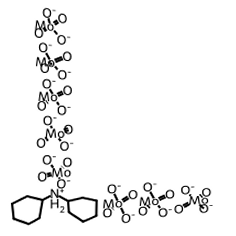 C1CCC([NH2+]C2CCCCC2)CC1.[O]=[Mo](=[O])([O-])[O-].[O]=[Mo](=[O])([O-])[O-].[O]=[Mo](=[O])([O-])[O-].[O]=[Mo](=[O])([O-])[O-].[O]=[Mo](=[O])([O-])[O-].[O]=[Mo](=[O])([O-])[O-].[O]=[Mo](=[O])([O-])[O-].[O]=[Mo](=[O])([O-])[O-]